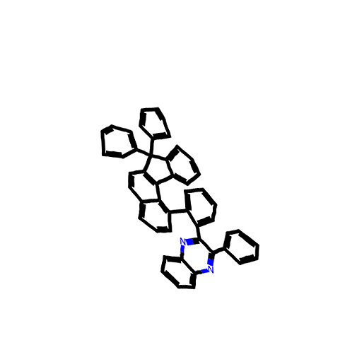 c1ccc(-c2nc3ccccc3nc2-c2ccccc2-c2cccc3ccc4c(c23)-c2ccccc2C4(c2ccccc2)c2ccccc2)cc1